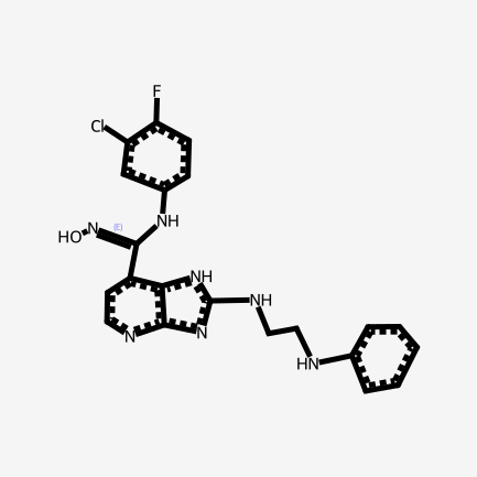 O/N=C(/Nc1ccc(F)c(Cl)c1)c1ccnc2nc(NCCNc3ccccc3)[nH]c12